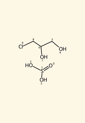 O=S(O)O.OCC(O)CCl